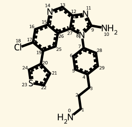 NCCCc1ccc(-n2c(N)nc3cnc4cc(Cl)c(-c5ccsc5)cc4c32)cc1